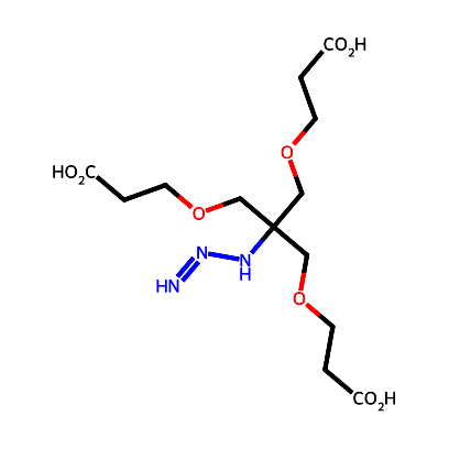 N=NNC(COCCC(=O)O)(COCCC(=O)O)COCCC(=O)O